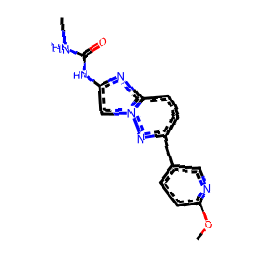 CNC(=O)Nc1cn2nc(-c3ccc(OC)nc3)ccc2n1